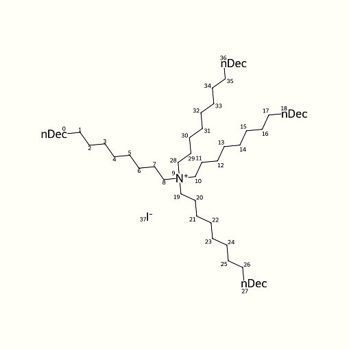 CCCCCCCCCCCCCCCCCC[N+](CCCCCCCCCCCCCCCCCC)(CCCCCCCCCCCCCCCCCC)CCCCCCCCCCCCCCCCCC.[I-]